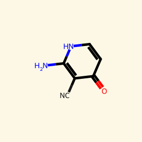 N#Cc1c(N)[nH]ccc1=O